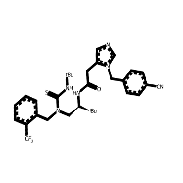 CC[C@H](C)[C@@H](CN(Cc1ccccc1C(F)(F)F)C(=S)NC(C)(C)C)NC(=O)Cc1cncn1Cc1ccc(C#N)cc1